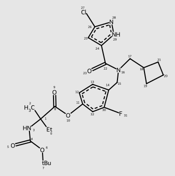 CCC(C)(NC(=O)OC(C)(C)C)C(=O)Oc1ccc(CN(CC2CCC2)C(=O)c2cc(Cl)n[nH]2)c(F)c1